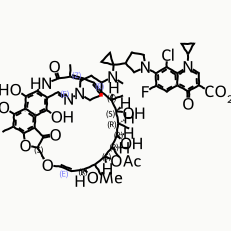 CO[C@H]1/C=C/O[C@@]2(C)Oc3c(C)c(O)c4c(O)c(c(/C=N/N5CCC(N(C)C6(C7CCN(c8c(F)cc9c(=O)c(C(=O)O)cn(C%10CC%10)c9c8Cl)C7)CC6)CC5)c(O)c4c3C2=O)NC(=O)/C(C)=C\C=C\[C@H](C)[C@H](O)[C@@H](C)[C@@H](O)[C@@H](C)[C@H](OC(C)=O)C1C